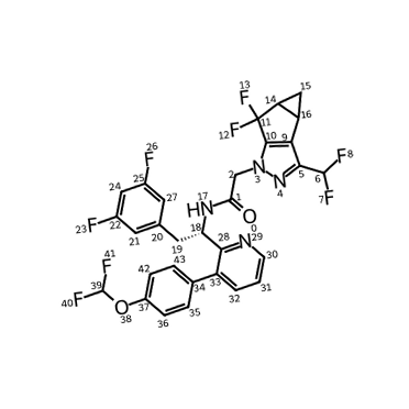 O=C(Cn1nc(C(F)F)c2c1C(F)(F)C1CC21)N[C@@H](Cc1cc(F)cc(F)c1)c1ncccc1-c1ccc(OC(F)F)cc1